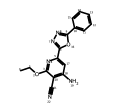 CCOc1nc(-c2nnc(-c3ccccc3)o2)cc(N)c1C#N